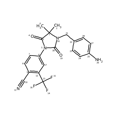 CC1(C)C(=O)N(c2ccc(C#N)c(C(F)(F)F)c2)C(=O)N1Cc1ccc(N)cc1